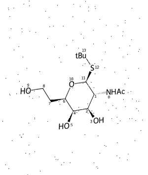 CC(=O)N[C@@H]1[C@@H](O)[C@@H](O)[C@@H](CCO)O[C@H]1SC(C)(C)C